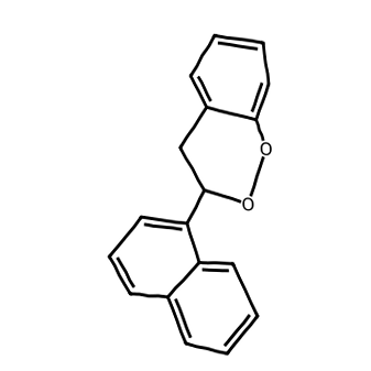 c1ccc2c(c1)CC(c1cccc3ccccc13)OO2